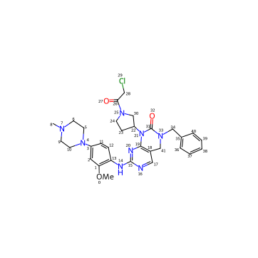 COc1cc(N2CCN(C)CC2)ccc1Nc1ncc2c(n1)N(C1CCN(C(=O)CCl)C1)C(=O)N(Cc1ccccc1)C2